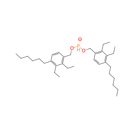 CCCCCCc1ccc(CO[PH](=O)OCc2ccc(CCCCCC)c(CC)c2CC)c(CC)c1CC